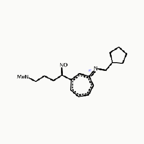 CNCCCC(N=O)c1cccc/c(=N\CC2CCCC2)c1